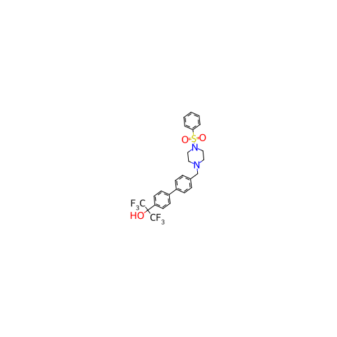 O=S(=O)(c1ccccc1)N1CCN(Cc2ccc(-c3ccc(C(O)(C(F)(F)F)C(F)(F)F)cc3)cc2)CC1